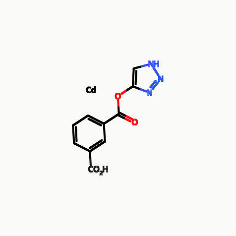 O=C(O)c1cccc(C(=O)Oc2c[nH]nn2)c1.[Cd]